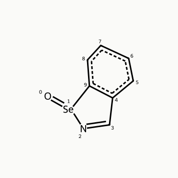 O=[Se]1N=Cc2ccccc21